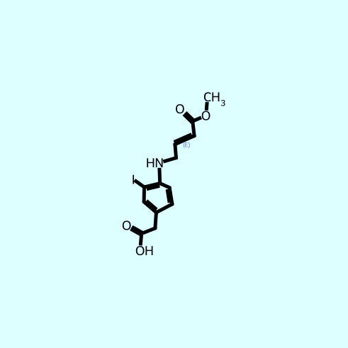 COC(=O)/C=C/CNc1ccc(CC(=O)O)cc1I